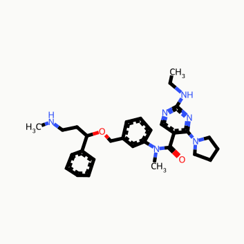 CCNc1ncc(C(=O)N(C)c2cccc(COC(CCNC)c3ccccc3)c2)c(N2CCCC2)n1